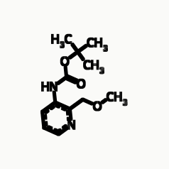 COCc1ncccc1NC(=O)OC(C)(C)C